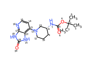 CC(C)(C)OC(=O)N[C@@H]1CCCN(c2ccnc3[nH]c(=O)[nH]c23)C1